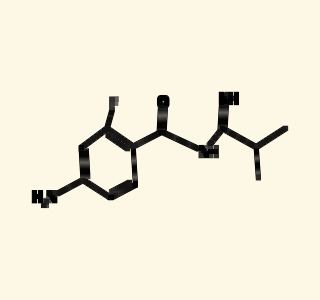 CC(C)C(=N)NC(=O)c1ccc(N)cc1F